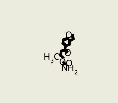 CC(COC(N)=O)CC(=O)c1ccc2occc2c1